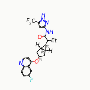 CCC(C(=O)Nc1cc(C(F)(F)F)[nH]n1)[C@H]1[C@@H]2C[C@@H](Oc3ccnc4ccc(F)cc34)C[C@@H]21